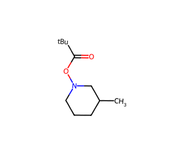 CC1CCCN(OC(=O)C(C)(C)C)C1